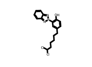 Oc1ccc(CCCCCC(Cl)Cl)cc1-n1nc2ccccc2n1